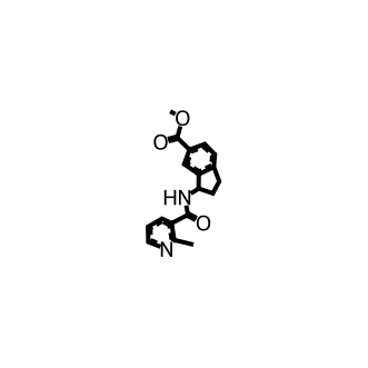 COC(=O)c1ccc2c(c1)C(NC(=O)c1cccnc1C)CC2